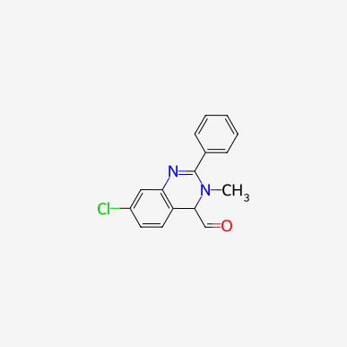 CN1C(c2ccccc2)=Nc2cc(Cl)ccc2C1C=O